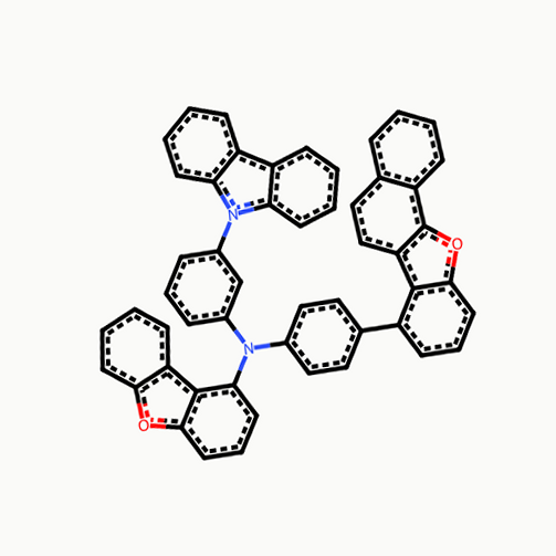 c1cc(N(c2ccc(-c3cccc4oc5c6ccccc6ccc5c34)cc2)c2cccc3oc4ccccc4c23)cc(-n2c3ccccc3c3ccccc32)c1